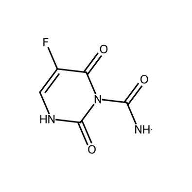 [NH]C(=O)n1c(=O)[nH]cc(F)c1=O